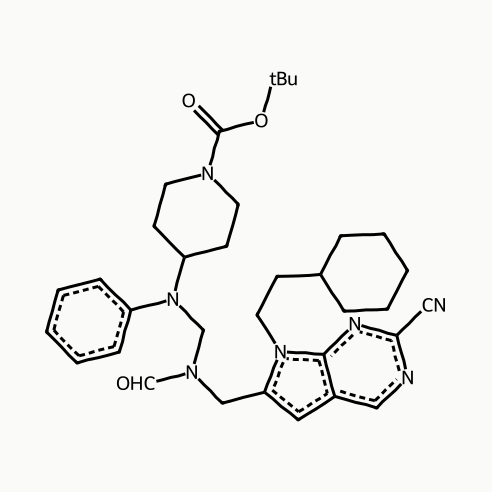 CC(C)(C)OC(=O)N1CCC(N(CN(C=O)Cc2cc3cnc(C#N)nc3n2CCC2CCCCC2)c2ccccc2)CC1